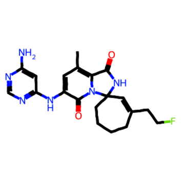 Cc1cc(Nc2cc(N)ncn2)c(=O)n2c1C(=O)NC21C=C(CCF)CCCC1